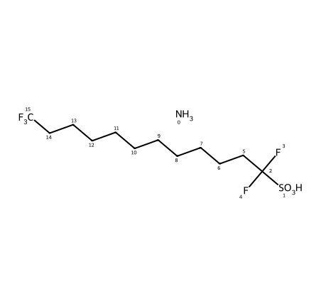 N.O=S(=O)(O)C(F)(F)CCCCCCCCCCC(F)(F)F